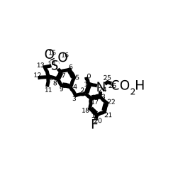 Cc1c(Cc2ccc3c(c2)C(C)(C)CS3(=O)=O)c2cc(F)ccc2n1CC(=O)O